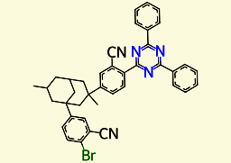 CC1CC2CC(C)(c3ccc(-c4nc(-c5ccccc5)nc(-c5ccccc5)n4)c(C#N)c3)CC(c3ccc(Br)c(C#N)c3)(C1)C2